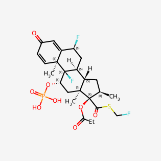 CCC(=O)O[C@]1(C(=O)SCF)[C@H](C)C[C@H]2[C@@H]3C[C@H](F)C4=CC(=O)C=C[C@]4(C)[C@@]3(F)[C@@H](OP(=O)(O)O)C[C@@]21C